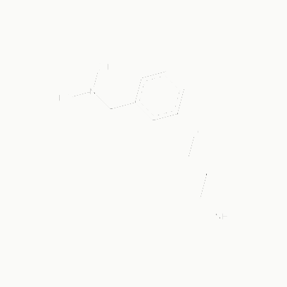 CN(C)Cc1cccc(OCCCN)c1